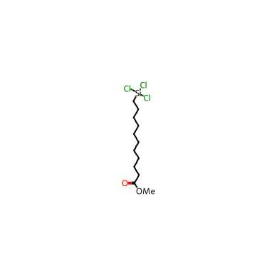 COC(=O)CCCCCCCCCC[Si](Cl)(Cl)Cl